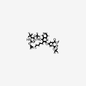 COC(=O)C1CC(Oc2nc3ccncc3c(O)c2CCCCC[C@@H]2C[C@H]2OC(=O)N[C@H](C(=O)OC(C)(C)C)C(C)(C)C)CN1C(=O)OC(C)(C)C